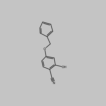 N#Cc1ccc(OCc2ccccc2)cc1O